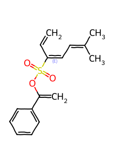 C=C/C(=C\C=C(C)C)S(=O)(=O)OC(=C)c1ccccc1